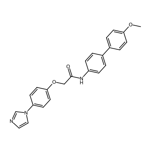 COc1ccc(-c2ccc(NC(=O)COc3ccc(-n4ccnc4)cc3)cc2)cc1